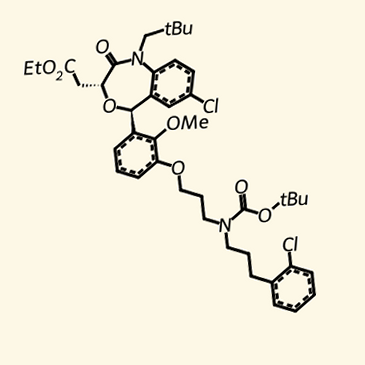 CCOC(=O)C[C@H]1O[C@H](c2cccc(OCCCN(CCCc3ccccc3Cl)C(=O)OC(C)(C)C)c2OC)c2cc(Cl)ccc2N(CC(C)(C)C)C1=O